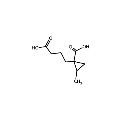 CC1CC1(CCCC(=O)O)C(=O)O